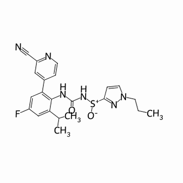 CCCn1ccc([S+]([O-])NC(=O)Nc2c(-c3ccnc(C#N)c3)cc(F)cc2C(C)C)n1